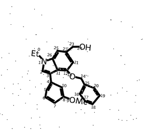 CCn1cc(-c2cccc(OC)c2)c2c(OCc3ccccc3)cc(CO)cc21